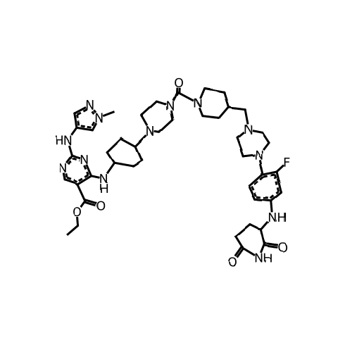 CCOC(=O)c1cnc(Nc2cnn(C)c2)nc1NC1CCC(N2CCN(C(=O)N3CCC(CN4CCN(c5ccc(NC6CCC(=O)NC6=O)cc5F)CC4)CC3)CC2)CC1